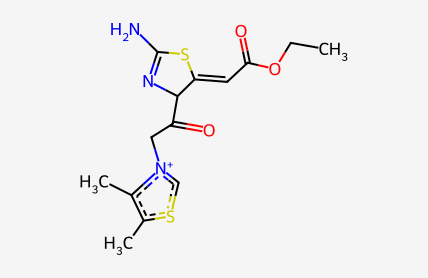 CCOC(=O)C=C1SC(N)=NC1C(=O)C[n+]1csc(C)c1C